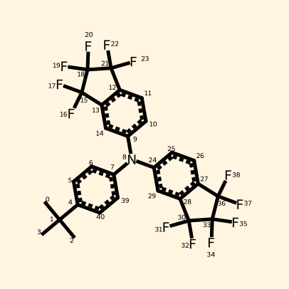 CC(C)(C)c1ccc(N(c2ccc3c(c2)C(F)(F)C(F)(F)C3(F)F)c2ccc3c(c2)C(F)(F)C(F)(F)C3(F)F)cc1